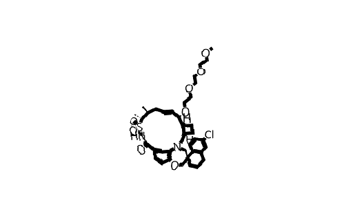 COCCOCCOCCO[C@H]1/C=C/C[C@H](C)[C@@H](C)S(=O)(=O)NC(=O)c2ccc3c(c2)N(C[C@@H]2CC[C@H]21)C[C@@]1(CCCc2cc(Cl)ccc21)CO3